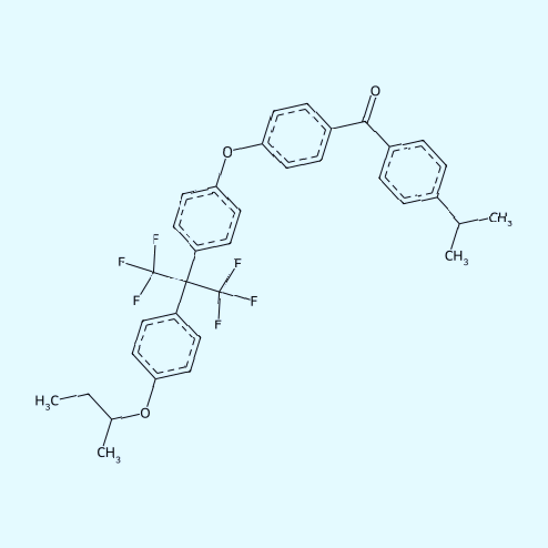 CCC(C)Oc1ccc(C(c2ccc(Oc3ccc(C(=O)c4ccc(C(C)C)cc4)cc3)cc2)(C(F)(F)F)C(F)(F)F)cc1